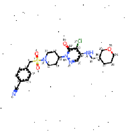 N#Cc1ccc(CS(=O)(=O)N2CCC(n3ncc(NC[C@H]4CCCOC4)c(Cl)c3=O)CC2)cc1